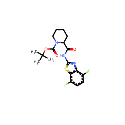 CC(C)(C)OC(=O)N1CCCCC1C(=O)Nc1nc2c(F)ccc(F)c2s1